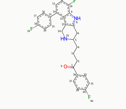 O=C(CCCC1Cc2[nH]c3c(F)ccc(-c4ccc(F)cc4)c3c2CN1)c1ccc(F)cc1